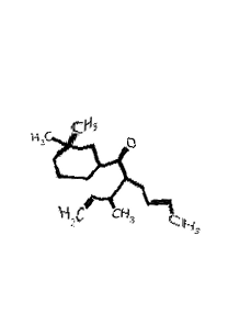 C=CC(C)C(C/C=C/C)C(=O)C1CCCC(C)(C)C1